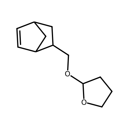 C1=CC2CC1CC2COC1CCCO1